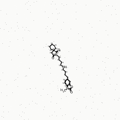 Cn1c(=O)oc2cc(CCCCNCCCCN3C(=O)CC4(CCCCC4)C3=O)ccc21